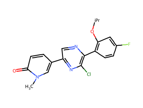 CC(C)Oc1cc(F)ccc1-c1ncc(-c2ccc(=O)n(C)c2)nc1Cl